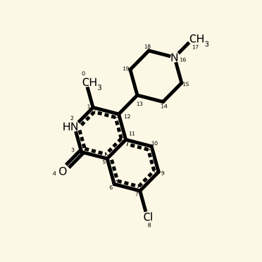 Cc1[nH]c(=O)c2cc(Cl)ccc2c1C1CCN(C)CC1